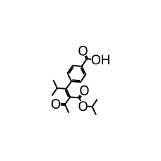 CC(=O)C(C(=O)OC(C)C)=C(c1ccc(C(=O)O)cc1)C(C)C